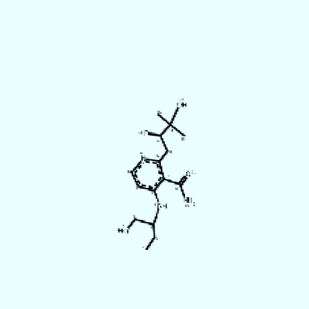 CCC(CO)Nc1ccnc(CC(F)C(C)(C)O)c1C(N)=O